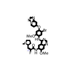 COc1cc2ncnc(Nc3cc(Br)c(Oc4ccn5ncnc5c4)cc3OC)c2cc1NC(=O)/C(F)=C\C1CCCN1C